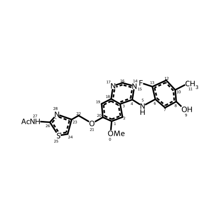 COc1cc2c(Nc3cc(O)c(C)cc3F)ncnc2cc1OCc1csc(NC(C)=O)n1